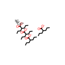 CCCC(CCC)C(=O)[O-].CCCC(CCC)C(=O)[O-].CCCC(CCC)C(=O)[O-].CCCC(CCC)C(=O)[O-].[Ca+2].[H+].[H+]